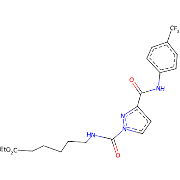 CCOC(=O)CCCCCNC(=O)n1ccc(C(=O)Nc2ccc(C(F)(F)F)cc2)n1